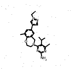 CCn1cc(-c2cc(C)c3c(c2)CN(c2nc(N)nc(C)c2C(C)C)CCO3)cn1